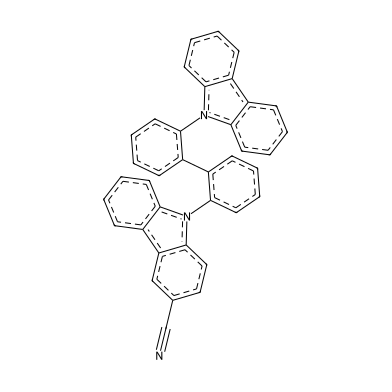 N#Cc1ccc2c(c1)c1ccccc1n2-c1ccccc1-c1ccccc1-n1c2ccccc2c2ccccc21